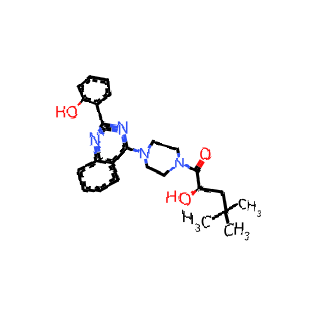 CC(C)(C)C[C@@H](O)C(=O)N1CCN(c2nc(-c3ccccc3O)nc3ccccc23)CC1